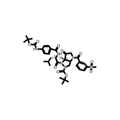 CC(C)C[C@H](NC(=O)c1ccc(NC(=O)OC(C)(C)C)cc1)C(=O)N1[C@@H]2C(=O)CN(C(=O)c3cccc(S(C)(=O)=O)c3)C2CN1C(=O)OC(C)(C)C